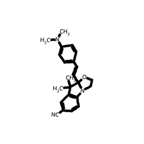 CN(C)c1ccc(C=CC23OCCN2c2ccc(C#N)cc2C3(C)C)cc1